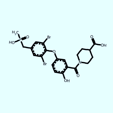 CP(=O)(O)Cc1cc(Br)c(Oc2ccc(O)c(C(=O)N3CCC(C(=O)O)CC3)c2)c(Br)c1